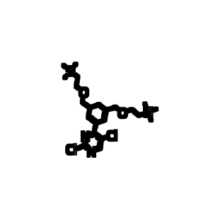 C[Si](C)(C)CCOCC1=CC(c2nc(Cl)ncc2Cl)=CC(COCC[Si](C)(C)C)C1